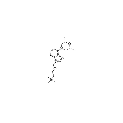 C[C@@H]1CN(c2cccc3c2ncn3COCC[Si](C)(C)C)C[C@H](C)O1